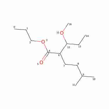 CCCOC(=O)C(CCC(C)C)C(CC)OC